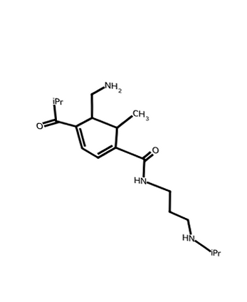 CC(C)NCCCNC(=O)C1=CC=C(C(=O)C(C)C)C(CN)C1C